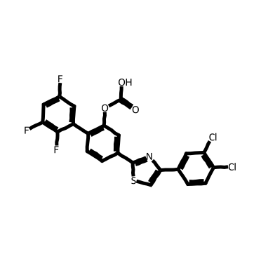 O=C(O)Oc1cc(-c2nc(-c3ccc(Cl)c(Cl)c3)cs2)ccc1-c1cc(F)cc(F)c1F